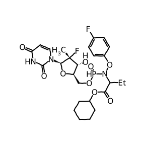 CCC(C(=O)OC1CCCCC1)N(Oc1ccc(F)cc1)[PH](=O)OC[C@H]1O[C@@H](n2ccc(=O)[nH]c2=O)[C@](C)(F)[C@@H]1O